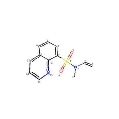 C=CN(C)S(=O)(=O)c1cccc2cccnc12